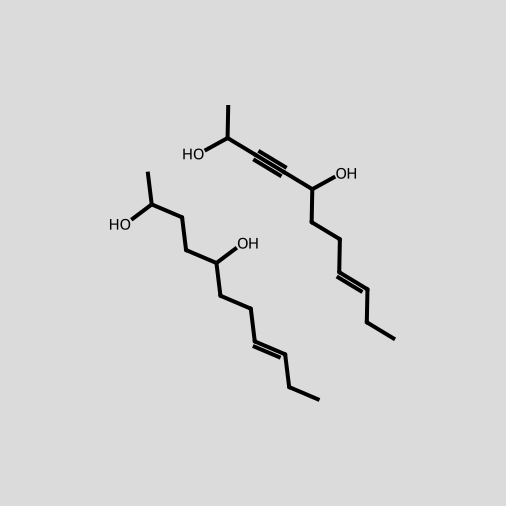 CCC=CCCC(O)C#CC(C)O.CCC=CCCC(O)CCC(C)O